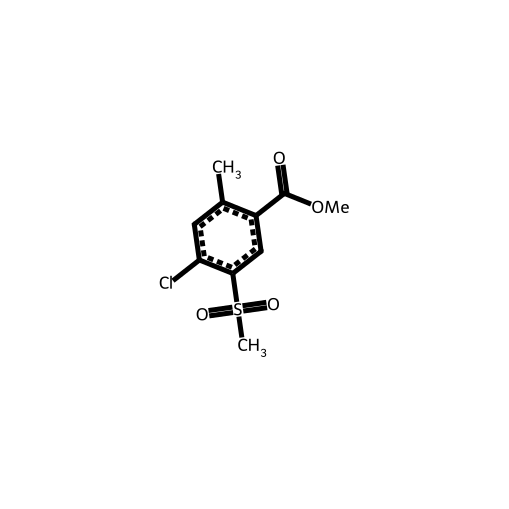 COC(=O)c1cc(S(C)(=O)=O)c(Cl)cc1C